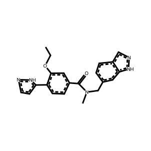 CCOc1cc(C(=O)N(C)Cc2ccc3cn[nH]c3c2)ccc1-c1ccn[nH]1